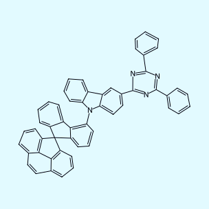 c1ccc(-c2nc(-c3ccccc3)nc(-c3ccc4c(c3)c3ccccc3n4-c3cccc4c3-c3ccccc3C43c4cccc5ccc6cccc3c6c45)n2)cc1